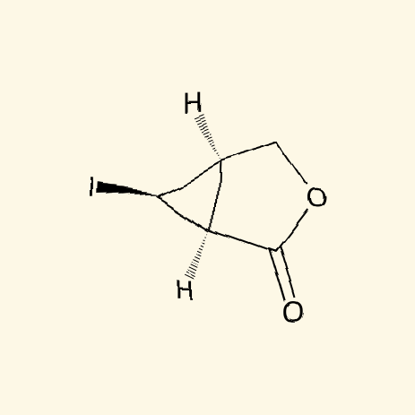 O=C1OC[C@@H]2[C@H](I)[C@H]12